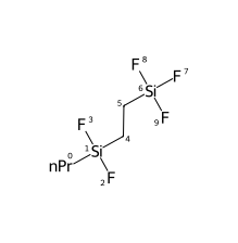 CCC[Si](F)(F)CC[Si](F)(F)F